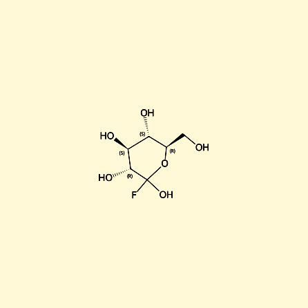 OC[C@H]1OC(O)(F)[C@H](O)[C@@H](O)[C@@H]1O